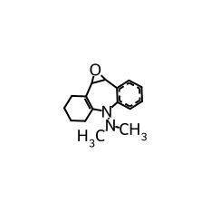 CN(C)N1C2=C(CCCC2)C2OC2c2ccccc21